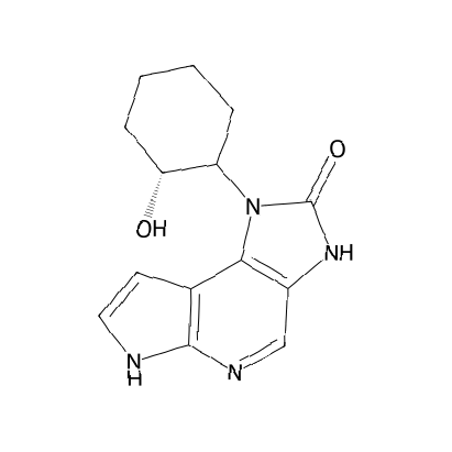 O=c1[nH]c2cnc3[nH]ccc3c2n1C1CCCC[C@H]1O